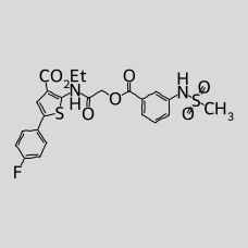 CCOC(=O)c1cc(-c2ccc(F)cc2)sc1NC(=O)COC(=O)c1cccc(NS(C)(=O)=O)c1